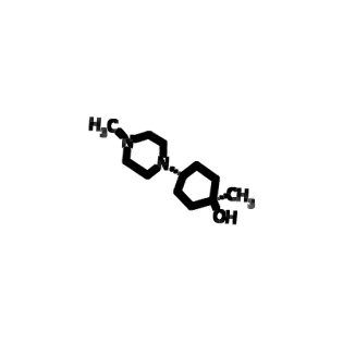 CN1CCN([C@H]2CC[C@](C)(O)CC2)CC1